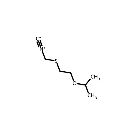 [C-]#[N+]CSCCOC(C)C